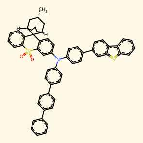 C[C@@H]1C[C@H]2CCC[C@@H](C1)C21c2ccccc2S(=O)(=O)c2cc(N(c3ccc(-c4ccc(-c5ccccc5)cc4)cc3)c3ccc(-c4ccc5c(c4)sc4ccccc45)cc3)ccc21